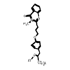 CCOC(Cc1ccc(OCCCc2nc3ccccc3c(=O)n2C)cc1)C(=O)O